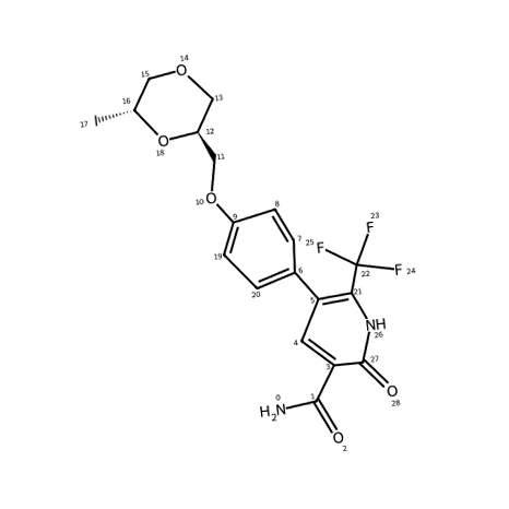 NC(=O)c1cc(-c2ccc(OC[C@@H]3COC[C@@H](I)O3)cc2)c(C(F)(F)F)[nH]c1=O